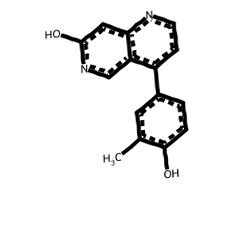 Cc1cc(-c2ccnc3cc(O)ncc23)ccc1O